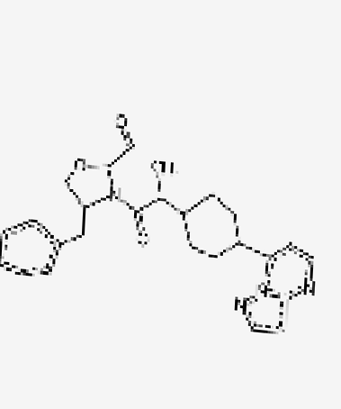 CC(C(=O)N1C(Cc2ccccc2)COC1C=O)C1CCC(c2ccnc3ccnn23)CC1